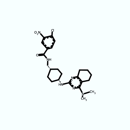 CN(C)c1nc(N[C@H]2CC[C@@H](CNC(=O)c3ccc(Cl)c([N+](=O)[O-])c3)CC2)nc2c1CCCC2